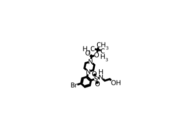 CC(C)(C)OC(=O)N1CCN(c2cc(Br)ccc2S(=O)(=O)NCCO)CC1